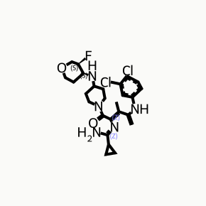 C=C(Nc1ccc(Cl)c(Cl)c1)/C(C)=C(\N=C(/N)C1CC1)C(=O)N1CCC(N[C@H]2CCOC[C@H]2F)CC1